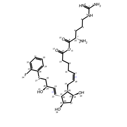 N=C(N)NCCC[C@H](N)C(=O)OC(=O)CCC/C=C\C[C@@H]1[C@@H](/C=C/[C@@H](O)CSc2ccccc2F)[C@H](O)C[C@@H]1O